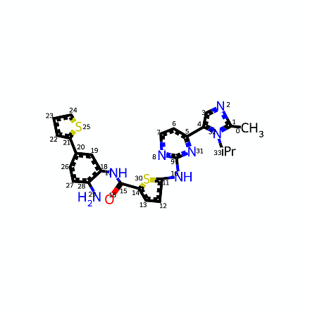 Cc1ncc(-c2ccnc(Nc3ccc(C(=O)Nc4cc(-c5cccs5)ccc4N)s3)n2)n1C(C)C